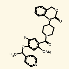 COc1cc(OC(C)c2ccncc2)c(F)cc1C(=O)N1CCC(N2C(=O)OCc3ccccc32)CC1